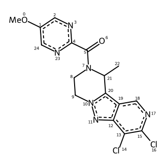 COc1cnc(C(=O)N2CCn3nc4c(Cl)c(Cl)ncc4c3C2C)nc1